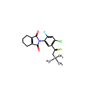 C[Si](C)(C)CC(=S)c1cc(N2C(=O)C3=C(CCCC3)C2=O)c(F)cc1Cl